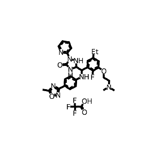 CCc1cc(OCCN(C)C)c(F)c(C(Nc2ccc(-c3noc(C)n3)cc2)C2NC(=O)N(c3ccccn3)N2)c1.O=C(O)C(F)(F)F